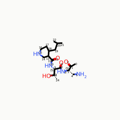 CC(=O)[C@H](CN)NC(=O)[C@@H](NC(=O)C1CNCCC1CC(C)C)[C@H](C)O